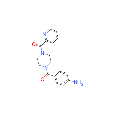 Nc1ccc(C(=O)N2CCN(C(=O)c3ccccn3)CC2)cc1